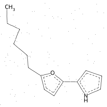 CCCCCCc1ccc(-c2ccc[nH]2)o1